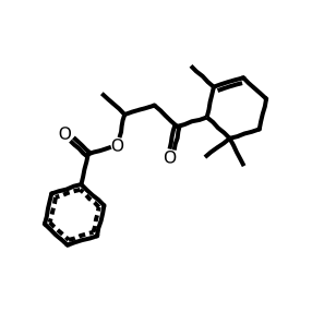 CC1=CCCC(C)(C)C1C(=O)CC(C)OC(=O)c1ccccc1